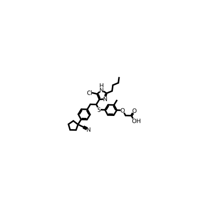 CCCCc1nc(C(Cc2ccc(C3(C#N)CCCC3)cc2)Sc2ccc(OCC(=O)O)c(C)c2)c(Cl)[nH]1